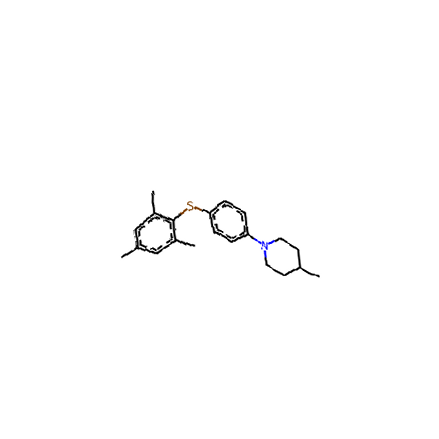 Cc1cc(C)c(Sc2ccc(N3CCC(C)CC3)cc2)c(C)c1